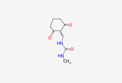 CNC(=O)NC=C1C(=O)CCCC1=O